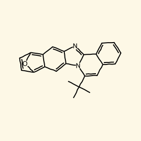 CC(C)(C)c1cc2ccccc2c2nc3cc4c5ccc(o5)c4cc3n12